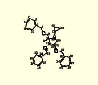 CC1(COCc2ccccc2)[C@@H](OCc2ccccc2)[C@H](OCc2ccccc2)CN1C1CC1